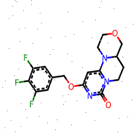 O=c1nc(OCc2cc(F)c(F)c(F)c2)cc2n1CCC1COCCN21